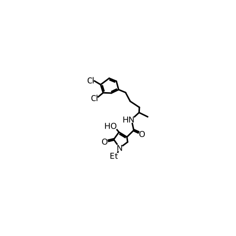 CCN1CC(C(=O)NC(C)CCCc2ccc(Cl)c(Cl)c2)=C(O)C1=O